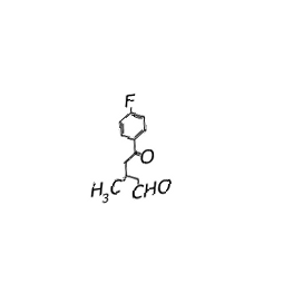 C[C@H](CC=O)CC(=O)c1ccc(F)cc1